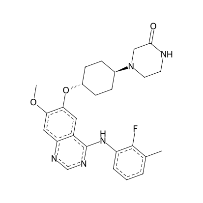 COc1cc2ncnc(Nc3cccc(C)c3F)c2cc1O[C@H]1CC[C@H](N2CCNC(=O)C2)CC1